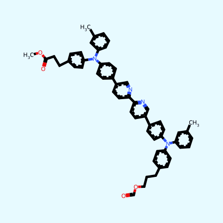 COC(=O)CCc1ccc(N(c2ccc(-c3ccc(-c4ccc(-c5ccc(N(c6ccc(CCCOC=O)cc6)c6cccc(C)c6)cc5)cn4)nc3)cc2)c2cccc(C)c2)cc1